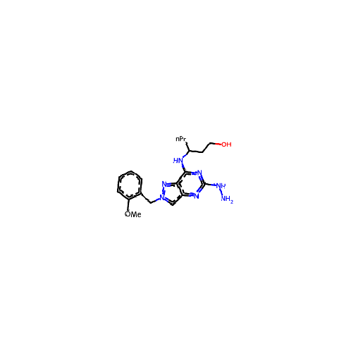 CCCC(CCO)Nc1nc(NN)nc2cn(Cc3ccccc3OC)nc12